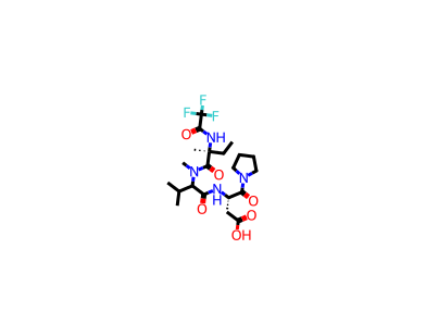 CC[C@](C)(NC(=O)C(F)(F)F)C(=O)N(C)C(C(=O)N[C@@H](CC(=O)O)C(=O)N1CCCC1)C(C)C